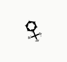 BrC(Br)(Br)c1c[c]ccc1